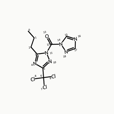 CCCc1nc(C(Cl)(Cl)Cl)nn1C(=O)n1cncn1